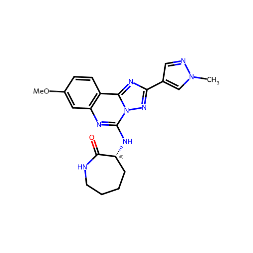 COc1ccc2c(c1)nc(N[C@@H]1CCCCNC1=O)n1nc(-c3cnn(C)c3)nc21